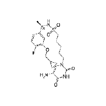 C[C@@H](NS(=O)(=O)CCCCCn1cc(N)c(=O)[nH]c1=O)c1ccc(F)c(OCC2CC2)c1